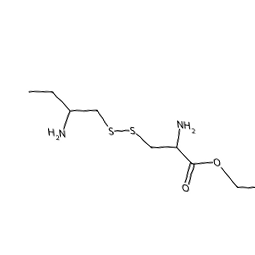 CCOC(=O)C(N)CSSCC(N)CC